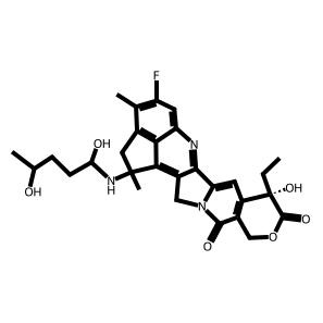 CC[C@@]1(O)C(=O)OCc2c1cc1n(c2=O)Cc2c-1nc1cc(F)c(C)c3c1c2C(C)(NC(O)CCC(C)O)C3